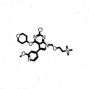 COc1cc(-c2cn(COCC[Si](C)(C)C)c3nc(Cl)nc(OC4CCOCC4)c23)ccn1